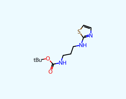 CC(C)(C)OC(=O)NCCCNc1nccs1